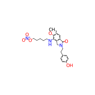 COc1ccc2c(c1NCCCCCO[N+](=O)[O-])CN(CCc1ccc(O)cc1)C2=O